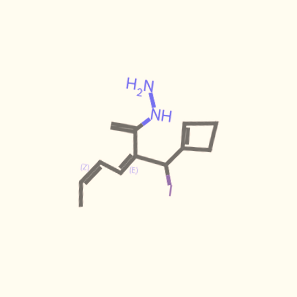 C=C(NN)/C(=C\C=C/C)C(I)C1=CCC1